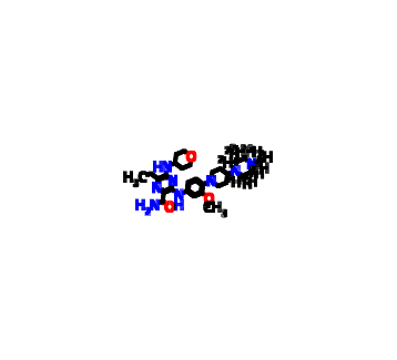 [2H]C([2H])([2H])N1C([2H])([2H])C([2H])([2H])N(C2CCN(c3ccc(Nc4nc(NC5CCOCC5)c(CC)nc4C(N)=O)cc3OC)CC2)C([2H])([2H])C1([2H])[2H]